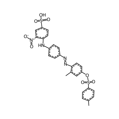 Cc1ccc(S(=O)(=O)Oc2ccc(N=Nc3ccc(Nc4ccc(S(=O)(=O)O)cc4[N+](=O)[O-])cc3)c(C)c2)cc1